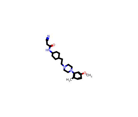 COc1ccc(C)c(N2CCN(CCC3CCC(NC(=O)CC#N)CC3)CC2)c1